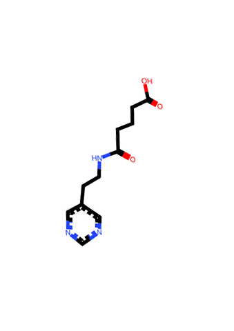 O=C(O)CCCC(=O)NCCc1cncnc1